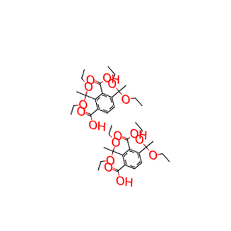 CCOC(C)(OCC)c1ccc(C(=O)O)c(C(C)(OCC)OCC)c1C(=O)O.CCOC(C)(OCC)c1ccc(C(=O)O)c(C(C)(OCC)OCC)c1C(=O)O